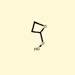 OOC1CCO1